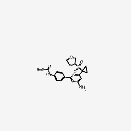 CNC(=O)Nc1ccc(-c2nc(N)cc(C3(S(=O)(=O)C4CCOC4)CC3)n2)cc1